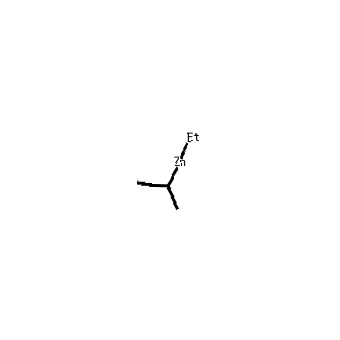 C[CH2][Zn][CH](C)C